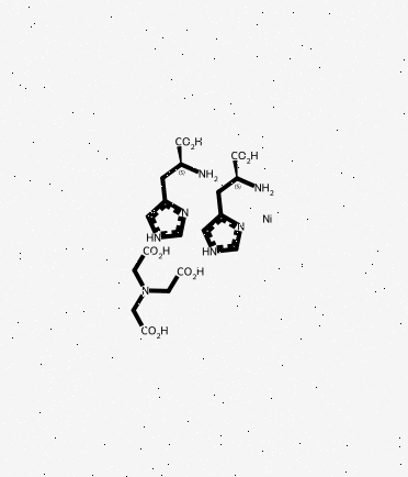 N[C@@H](Cc1c[nH]cn1)C(=O)O.N[C@@H](Cc1c[nH]cn1)C(=O)O.O=C(O)CN(CC(=O)O)CC(=O)O.[Ni]